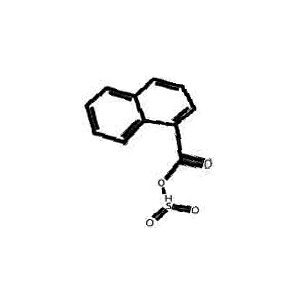 O=C(O[SH](=O)=O)c1cccc2ccccc12